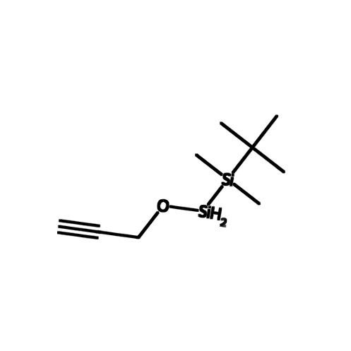 C#CCO[SiH2][Si](C)(C)C(C)(C)C